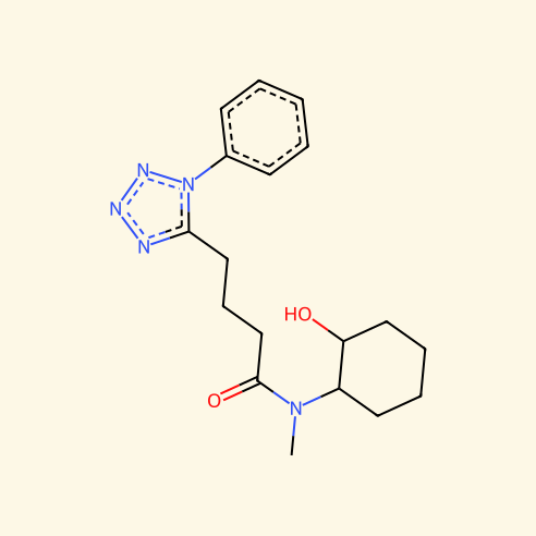 CN(C(=O)CCCc1nnnn1-c1ccccc1)C1CCCCC1O